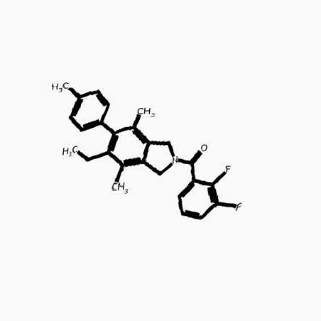 CCc1c(C)c2c(c(C)c1-c1ccc(C)cc1)CN(C(=O)c1cccc(F)c1F)C2